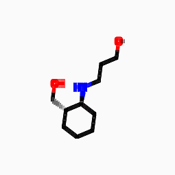 [O]CCCN[C@H]1CCCC[C@@H]1CO